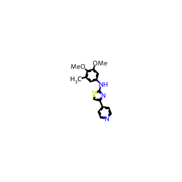 COc1cc(Nc2nc(-c3ccncc3)cs2)cc(C)c1OC